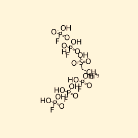 CCS(=O)(=O)O.O=P(O)(O)F.O=P(O)(O)F.O=P(O)(O)F.O=P(O)(O)F.O=P([O-])(O)F.[Li+]